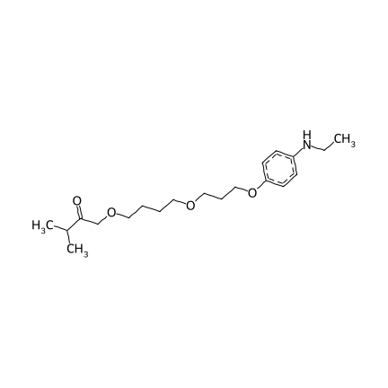 CCNc1ccc(OCCCOCCCCOCC(=O)C(C)C)cc1